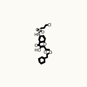 O=c1c(O)c(C2=COC(Cc3ccccc3)O2)oc2ccc(NS(=O)(=O)CCCCl)cc12